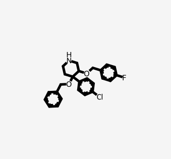 Fc1ccc(COC2CNCCC2(OCc2ccccc2)c2ccc(Cl)cc2)cc1